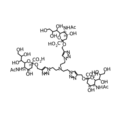 CC(=O)N[C@H]1C(C(O)C(O)CO)O[C@@](OCc2cn(CCN(CCn3cc(CO[C@]4(C(=O)O)C[C@@H](O)[C@@H](NC(C)=O)C(C(O)C(O)CO)O4)nn3)CCn3cc(CO[C@]4(C(=O)O)C[C@@H](O)[C@@H](NC(C)=O)C(C(O)C(O)CO)O4)nn3)nn2)(C(=O)O)C[C@H]1O